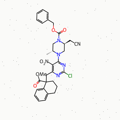 COC(=O)C1(Cc2nc(Cl)nc(N3C[C@H](CC#N)N(C(=O)OCc4ccccc4)C[C@H]3C)c2[N+](=O)[O-])CCCc2ccccc21